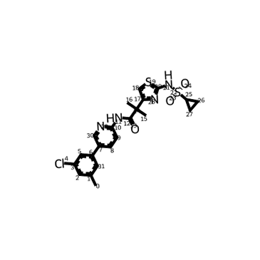 Cc1cc(Cl)cc(-c2ccc(NC(=O)C(C)(C)c3csc(NS(=O)(=O)C4CC4)n3)nc2)c1